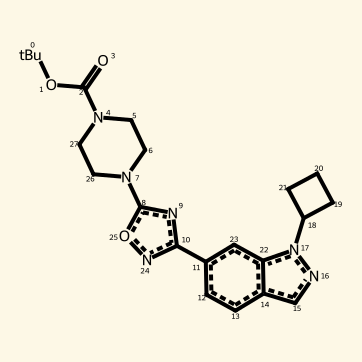 CC(C)(C)OC(=O)N1CCN(c2nc(-c3ccc4cnn(C5CCC5)c4c3)no2)CC1